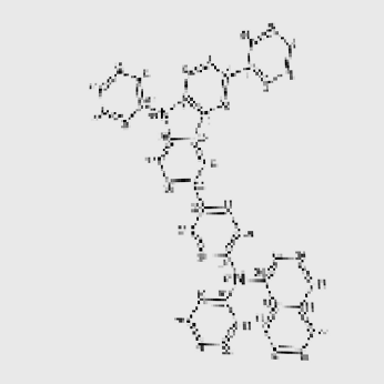 c1ccc(-c2ccc3c(c2)c2cc(-c4ccc(N(c5ccccc5)c5cccc6ccccc56)cc4)ccc2n3-c2ccccc2)cc1